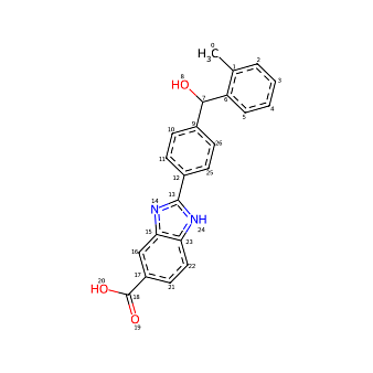 Cc1ccccc1C(O)c1ccc(-c2nc3cc(C(=O)O)ccc3[nH]2)cc1